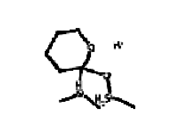 C[SiH2]OC1([SiH](C)C)CCCCO1.[H+]